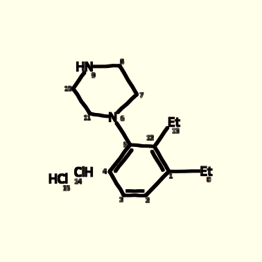 CCc1cccc(N2CCNCC2)c1CC.Cl.Cl